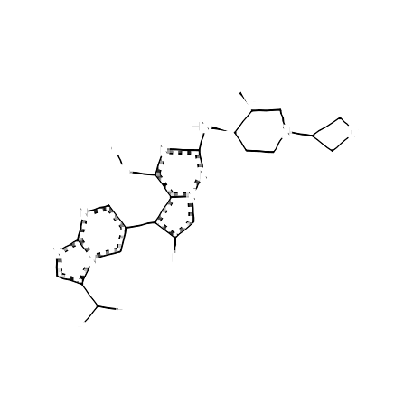 COc1nc(N[C@@H]2CCN(C3COC3)C[C@@H]2F)nn2cc(F)c(-c3cnc4ncc(C(F)F)n4c3)c12